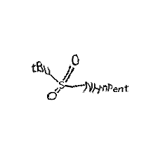 CCCCCNS(=O)(=O)C(C)(C)C